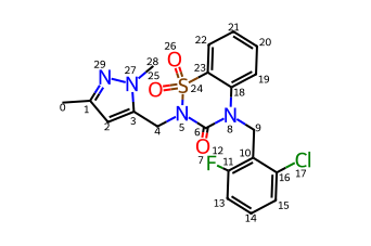 Cc1cc(CN2C(=O)N(Cc3c(F)cccc3Cl)c3ccccc3S2(=O)=O)n(C)n1